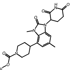 Cc1cc(C2CCN(C(=O)OC(C)(C)C)CC2)c2c(c1)n(C1CCC(=O)NC1=O)c(=O)n2C